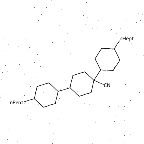 CCCCCCCC1CCC(C2(C#N)CCC(C3CCC(CCCCC)CC3)CC2)CC1